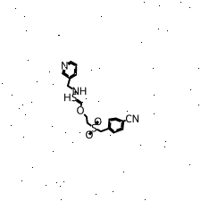 N#Cc1ccc(CS(=O)(=O)CCOC=[SH]NCc2cccnc2)cc1